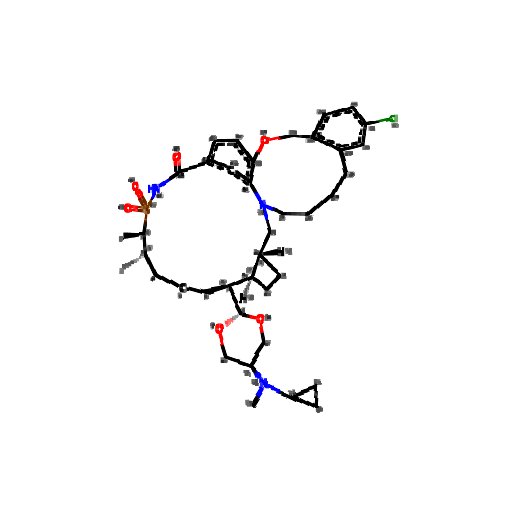 C[C@@H]1[C@@H](C)CCC[C@H]([C@H]2OC[C@H](N(C)C3CC3)CO2)[C@@H]2CC[C@H]2CN2CCCCc3cc(Cl)ccc3COc3ccc(cc32)C(=O)NS1(=O)=O